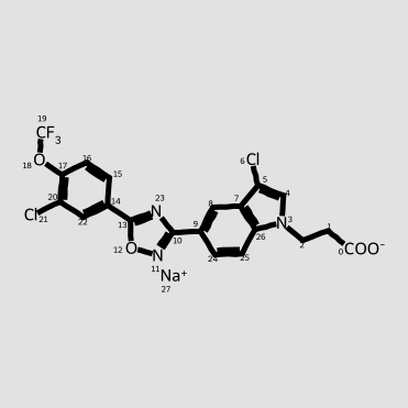 O=C([O-])CCn1cc(Cl)c2cc(-c3noc(-c4ccc(OC(F)(F)F)c(Cl)c4)n3)ccc21.[Na+]